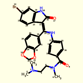 CN(C)CCN(C)C(=O)c1ccc(N/C(=C2\C(=O)Nc3cc(Br)ccc32)c2ccc3c(c2)OCO3)cc1